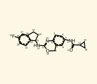 O=C(Nc1ccc2c(c1)COC(NC1CCc3cc(F)ccc31)=N2)C1CC1